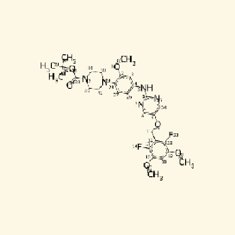 COc1cc(Nc2ncc(OCc3c(F)c(OC)cc(OC)c3F)cn2)ccc1N1CCN(C(=O)OC(C)(C)C)CC1